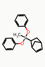 C[Si](Oc1ccccc1)(Oc1ccccc1)C1CC2C=CC1C2